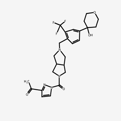 CC(=O)c1ccn(C(=O)N2CC3CN(Cc4ccc(C5(O)CCOCC5)cc4C(F)(F)F)CC3C2)n1